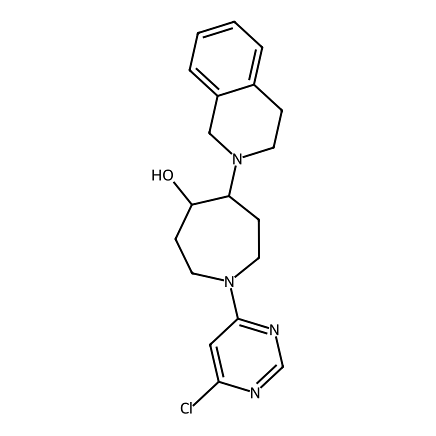 OC1CCN(c2cc(Cl)ncn2)CCC1N1CCc2ccccc2C1